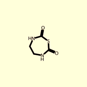 O=C1NCCNC(=O)S1